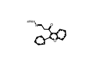 CCCCCCN=CCC(=O)c1c(-c2ccccc2)oc2ccccc12